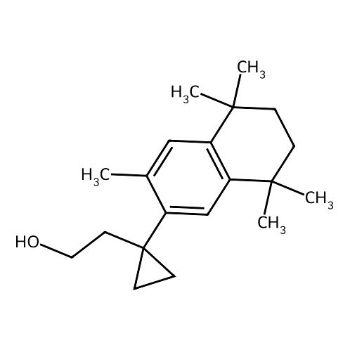 Cc1cc2c(cc1C1(CCO)CC1)C(C)(C)CCC2(C)C